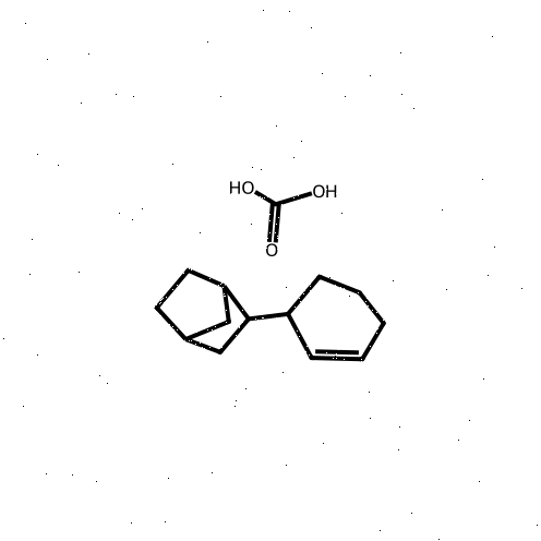 C1=CC(C2CC3CCC2C3)CCC1.O=C(O)O